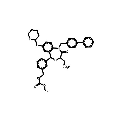 CC(C)(C)OC(=O)NCc1cccc(C2OC(CC(=O)O)C(=O)N(Cc3ccc(-c4ccccc4)cc3)c3ccc(OC4CCCCO4)cc32)c1